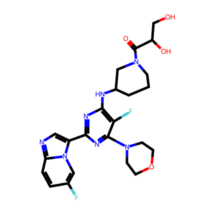 O=C(C(O)CO)N1CCCC(Nc2nc(-c3cnc4ccc(F)cn34)nc(N3CCOCC3)c2F)C1